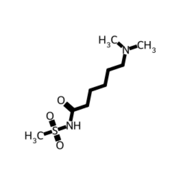 CN(C)CCCCCC(=O)NS(C)(=O)=O